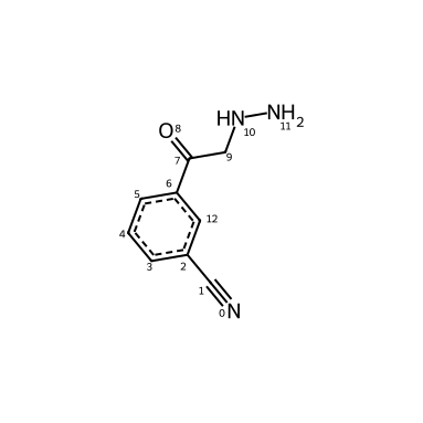 N#Cc1cccc(C(=O)CNN)c1